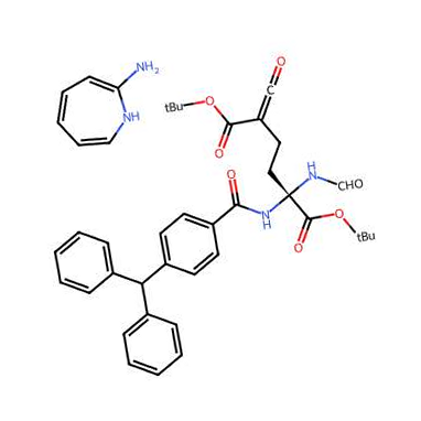 CC(C)(C)OC(=O)C(=C=O)CC[C@](NC=O)(NC(=O)c1ccc(C(c2ccccc2)c2ccccc2)cc1)C(=O)OC(C)(C)C.NC1=CC=CC=CN1